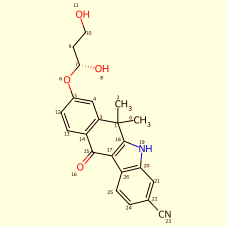 CC1(C)c2cc(O[C@@H](O)CCO)ccc2C(=O)c2c1[nH]c1cc(C#N)ccc21